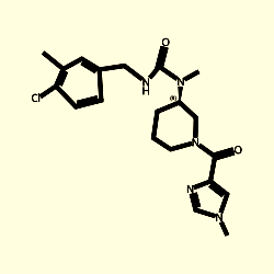 Cc1cc(CNC(=O)N(C)[C@@H]2CCCN(C(=O)c3cn(C)cn3)C2)ccc1Cl